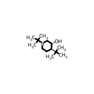 CC(C)(C)[C@H]1CCN(C(C)(C)C)C[C@@H]1O